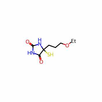 CCOCCCC1(S)NC(=O)NC1=O